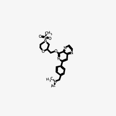 CC(=O)N(C)Cc1ccc(-c2cc3nccnc3c(OCC3CN(S(C)(=O)=O)CCO3)n2)cc1